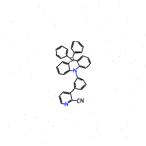 N#Cc1ncccc1-c1cccc(N2c3ccccc3[Si](c3ccccc3)(c3ccccc3)c3ccccc32)c1